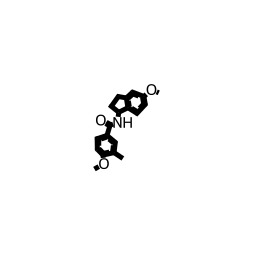 COc1ccc2c(c1)CCC2NC(=O)c1ccc(OC)c(C)c1